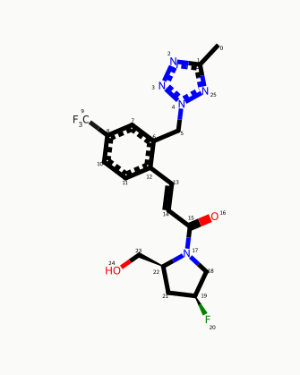 Cc1nnn(Cc2cc(C(F)(F)F)ccc2C=CC(=O)N2C[C@@H](F)C[C@H]2CO)n1